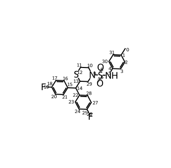 Cc1ccc(NS(=O)(=O)N2CCSC(C(c3ccc(F)cc3)c3ccc(F)cc3)C2)cc1